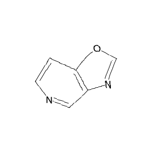 c1cc2ocnc2cn1